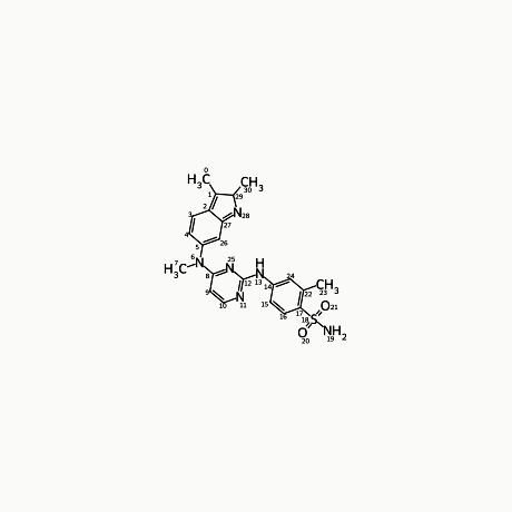 CC1=c2ccc(N(C)c3ccnc(Nc4ccc(S(N)(=O)=O)c(C)c4)n3)cc2=NC1C